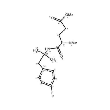 CN[C@@H](CCC(=O)OC)C(=O)NC(C)(C)Cc1ccc(F)cc1